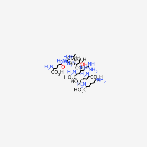 CC(N)C(=O)O.CC(O)C(N)C(=O)O.CCC(C)C(N)C(=O)O.N=C(N)NCCCC(N)C(=O)O.NC(=O)CCC(N)C(=O)O.NC(CCC(=O)O)C(=O)O.NCCCCC(N)C(=O)O